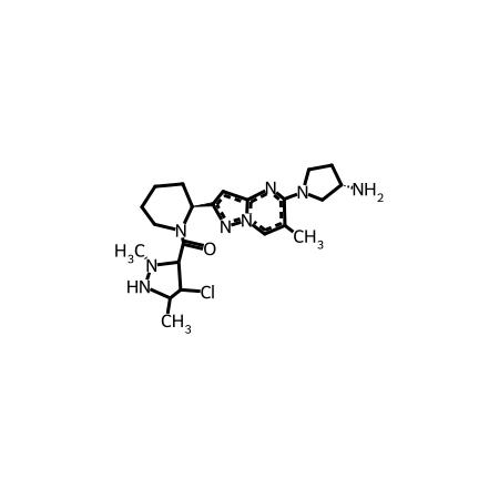 Cc1cn2nc([C@@H]3CCCCN3C(=O)C3C(Cl)C(C)NN3C)cc2nc1N1CC[C@H](N)C1